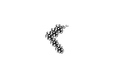 O=S(=O)([O-])c1c(F)c(F)c(F)c(F)c1F.O=S(=O)([O-])c1c(F)c(F)c(F)c(F)c1F.O=S(=O)([O-])c1c(F)c(F)c(F)c(F)c1F.O=S(=O)([O-])c1c(F)c(F)c(F)c(F)c1F.O=S(=O)([O-])c1c(F)c(F)c(F)c(F)c1F.[Nb+5]